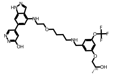 C[C@@H](O)COc1cc(CNCCCCOCCNc2cc(-c3cnnc(O)c3)cc3[nH]ncc23)cc(OC(F)(F)F)c1